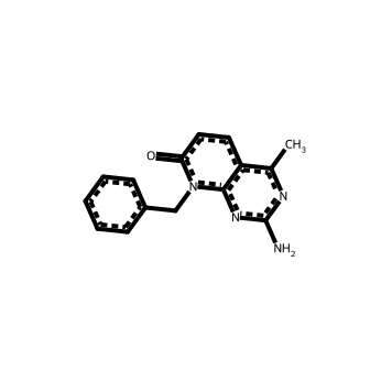 Cc1nc(N)nc2c1ccc(=O)n2Cc1ccccc1